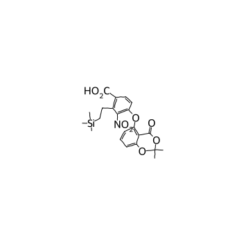 CC1(C)OC(=O)c2c(Oc3ccc(C(=O)O)c(CC[Si](C)(C)C)c3[N+](=O)[O-])cccc2O1